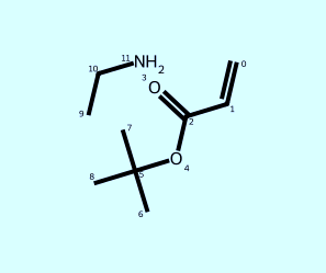 C=CC(=O)OC(C)(C)C.CCN